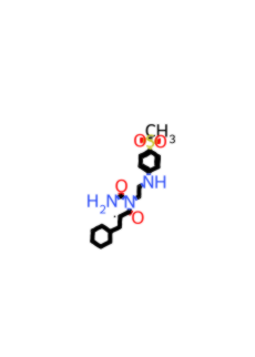 CS(=O)(=O)c1ccc(NCCN(C(N)=O)C(=O)[CH]CC2CCCCC2)cc1